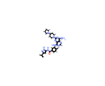 C=C(C)c1cc(NC(=O)c2ccc(C)c(Nc3ncnc4c(N)nc(N5CCC(N6CCCC6)CC5)nc34)c2)[nH]n1